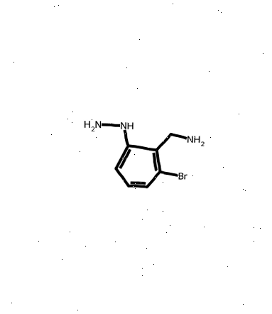 NCc1c(Br)cccc1NN